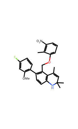 COc1cc(F)ccc1-c1ccc2c(c1COc1cccc([N+](=O)[O-])c1C)C(C)=CC(C)(C)N2